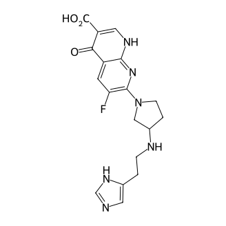 O=C(O)c1c[nH]c2nc(N3CCC(NCCc4cnc[nH]4)C3)c(F)cc2c1=O